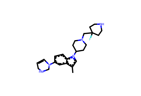 Cc1cn(C2CCN(CC3(F)CCNCC3)CC2)c2ccc(N3C=CCNC3)cc12